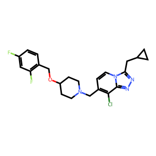 Fc1ccc(COC2CCN(Cc3ccn4c(CC5CC5)nnc4c3Cl)CC2)c(F)c1